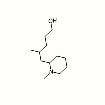 CC(CCCO)CC1CCCCN1C